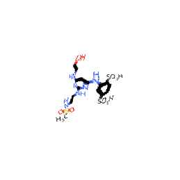 CS(=O)(=O)NCCNc1nc(NCCO)cc(Nc2cc(S(=O)(=O)O)ccc2S(=O)(=O)O)n1